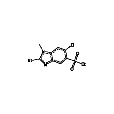 CCc1nc2cc(S(=O)(=O)CC)c(Cl)cc2n1C